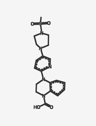 CS(=O)(=O)N1CCN(c2ccc(N3CCN(C(=O)O)c4ccccc43)nc2)CC1